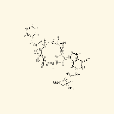 CNCC(C)(C)CC(=O)Nc1nc2c(ncn2[C@@H]2O[C@@H]3CO[P@@](=O)(S)O[C@H]4C[C@H](Oc5ccncn5)C[C@@H]4CO[P@@](=O)(S)O[C@@H]2C3)c(=O)[nH]1